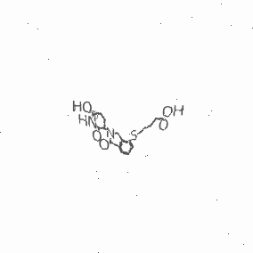 O=C(O)CCCCSc1cccc2c1CN(C1CC[C@@H](O)NC1=O)C2=O